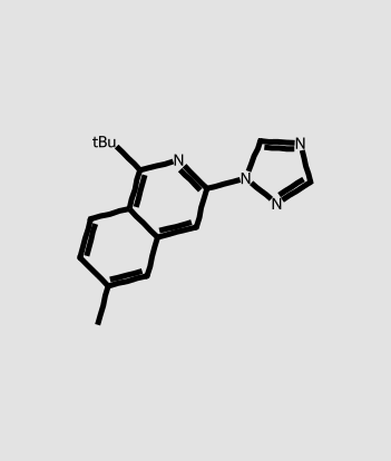 Cc1ccc2c(C(C)(C)C)nc(-n3cncn3)cc2c1